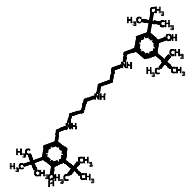 CC(C)(C)c1cc(CNCCCNCCCNCc2cc(C(C)(C)C)c(O)c(C(C)(C)C)c2)cc(C(C)(C)C)c1O